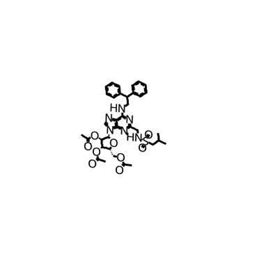 CC(=O)OC[C@H]1O[C@@H](n2cnc3c(NCC(c4ccccc4)c4ccccc4)nc(CNS(=O)(=O)CC(C)C)nc32)[C@H](OC(C)=O)[C@@H]1OC(C)=O